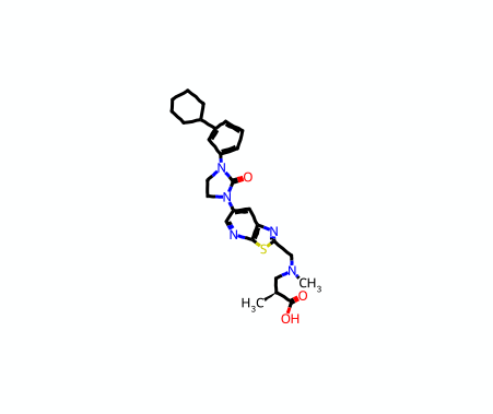 C[C@@H](CN(C)Cc1nc2cc(N3CCN(c4cccc(C5CCCCC5)c4)C3=O)cnc2s1)C(=O)O